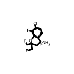 N[C@@H]1CC(CF)(CF)Oc2c1ccc(Cl)c2F